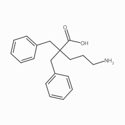 NCCCC(Cc1ccccc1)(Cc1ccccc1)C(=O)O